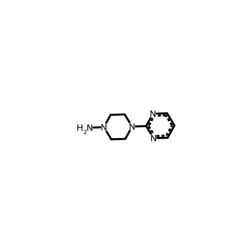 NN1CCN(c2ncccn2)CC1